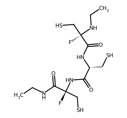 CCNC(=O)[C@@](F)(CS)NC(=O)[C@@H](CS)NC(=O)[C@@](F)(CS)NCC